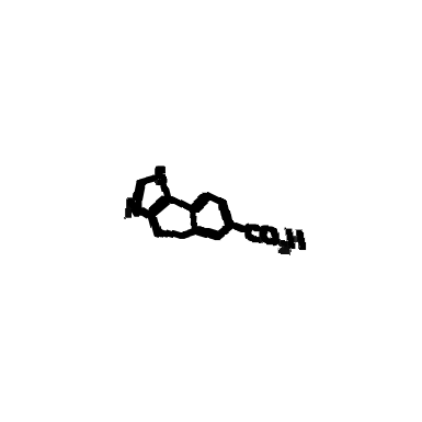 O=C(O)c1ccc2c(c1)CCc1ncsc1-2